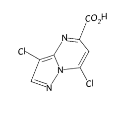 O=C(O)c1cc(Cl)n2ncc(Cl)c2n1